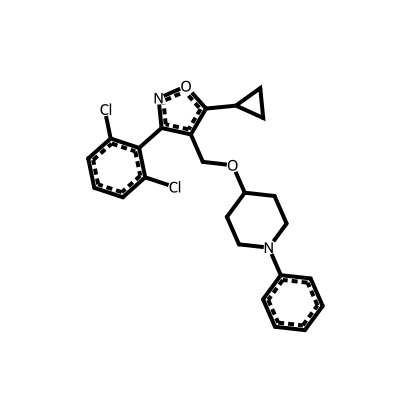 Clc1cccc(Cl)c1-c1noc(C2CC2)c1COC1CCN(c2ccccc2)CC1